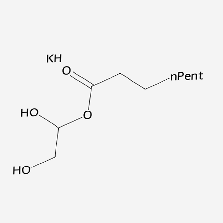 CCCCCCCC(=O)OC(O)CO.[KH]